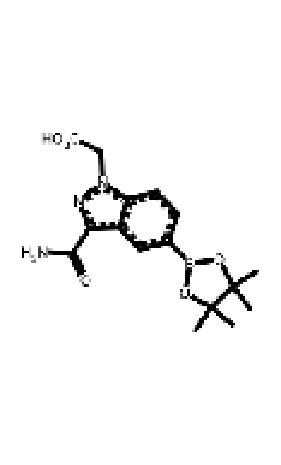 CC1(C)OB(c2ccc3c(c2)c(C(N)=O)nn3CC(=O)O)OC1(C)C